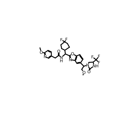 COCC(c1ccc2oc(C(NC(=O)Cc3ccc(OC)nc3)C3CCC(F)(F)CC3)nc2c1)N1CC(C(F)(F)F)NC1=O